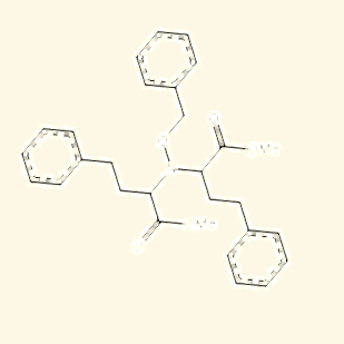 COC(=O)C(CCc1ccccc1)N(OCc1ccccc1)C(CCc1ccccc1)C(=O)OC